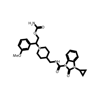 COc1cccc(C(COC(N)=O)N2CCC(CNC(=O)n3c(=O)n(C4CC4)c4ccccc43)CC2)c1